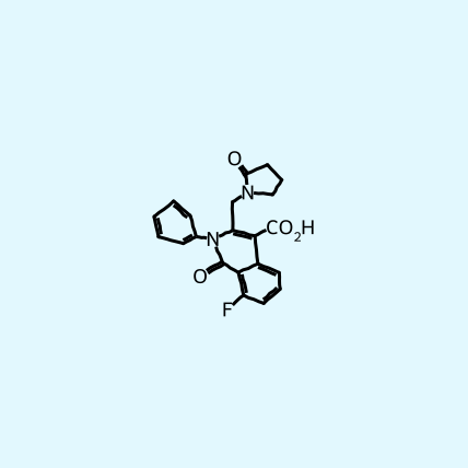 O=C(O)c1c(CN2CCCC2=O)n(-c2ccccc2)c(=O)c2c(F)cccc12